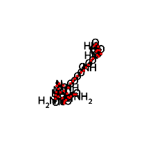 CCn1nc(C)cc1C(=O)N=c1n(C)c2cc(C(N)=O)ccc2n1CCC(CCn1c(=NC(=O)c2cc(C)nn2CC)n(C)c2cc(C(N)=O)ccc21)OCC(=O)NCCOCCOCCOCCOCCC(=O)NCCOCCOCCNc1cccc2c1C(=O)N(C1CCC(=O)NC1=O)C2=O